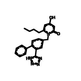 CCCCc1cc(O)cc(=O)n1Cc1ccc(-c2ccccc2)c(-c2nnn[nH]2)c1